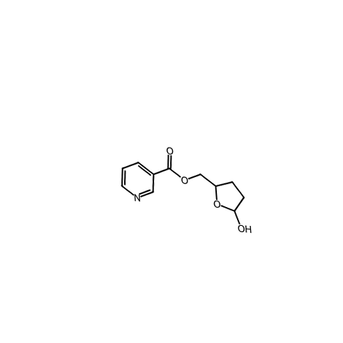 O=C(OCC1CCC(O)O1)c1cccnc1